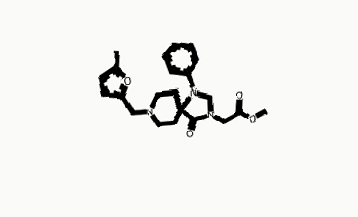 COC(=O)CN1CN(c2ccccc2)C2(CCN(Cc3ccc(C)o3)CC2)C1=O